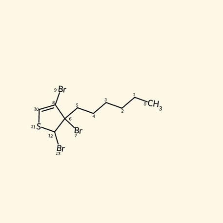 CCCCCCC1(Br)C(Br)=CSC1Br